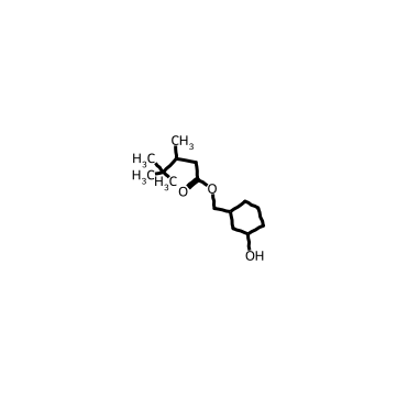 CC(CC(=O)OCC1CCCC(O)C1)C(C)(C)C